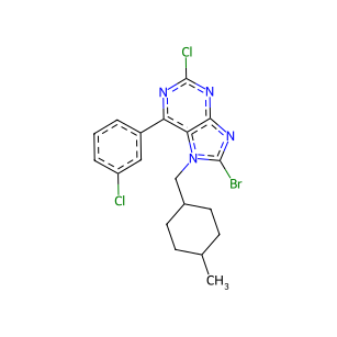 CC1CCC(Cn2c(Br)nc3nc(Cl)nc(-c4cccc(Cl)c4)c32)CC1